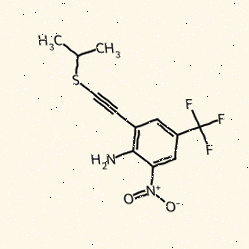 CC(C)SC#Cc1cc(C(F)(F)F)cc([N+](=O)[O-])c1N